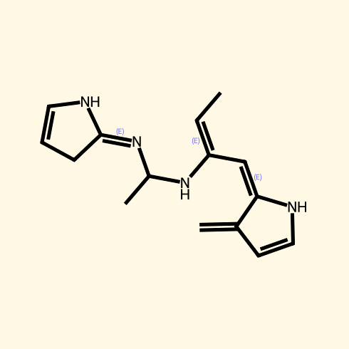 C=c1cc[nH]/c1=C/C(=C\C)NC(C)/N=C1\CC=CN1